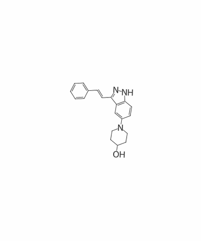 OC1CCN(c2ccc3[nH]nc(C=Cc4ccccc4)c3c2)CC1